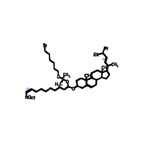 CCCCCCCC/C=C\CCCCCCCC(OC1CCC2(C)C(=CCC3C2CCC2(C)C(C(C)/C=C/C(CC)C(C)C)CCC32)C1)O[Si](C)(C)OCCCCCCBr